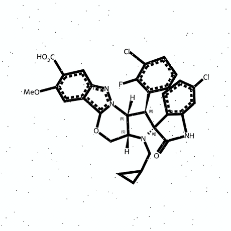 COc1cc2c3n(nc2cc1C(=O)O)[C@H]1[C@@H](CO3)N(CC2CC2)[C@]2(C(=O)Nc3cc(Cl)ccc32)[C@@H]1c1cccc(Cl)c1F